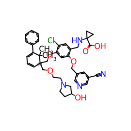 CC1(C)C(c2ccccc2)=CC=C[C@@]1(COCCN1CCC(O)C1)COc1cc(OCc2cncc(C#N)c2)c(CNC2(C(=O)O)CC2)cc1Cl